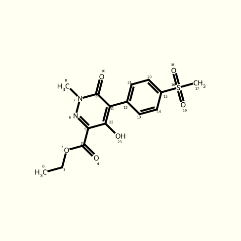 CCOC(=O)c1nn(C)c(=O)c(-c2ccc(S(C)(=O)=O)cc2)c1O